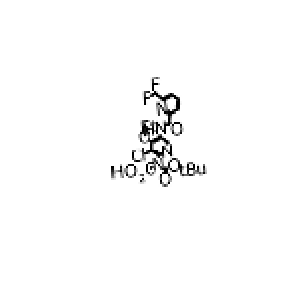 CCOc1c(NC(=O)c2cccc(C(F)F)n2)cnc(N(C(=O)O)C(=O)OC(C)(C)C)c1Cl